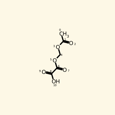 CC(=O)OCOC(=O)C(=O)O